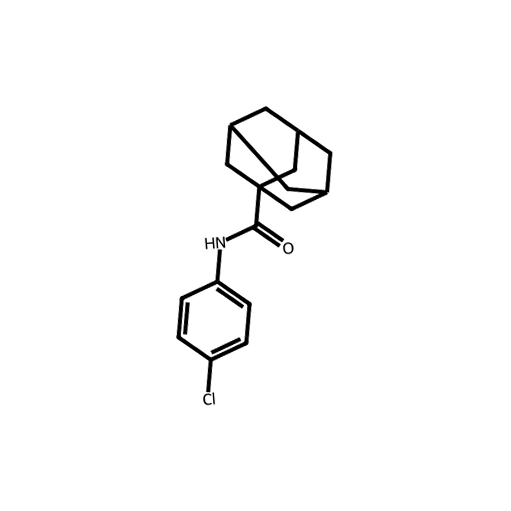 O=C(Nc1ccc(Cl)cc1)C12CC3CC(CC(C3)C1)C2